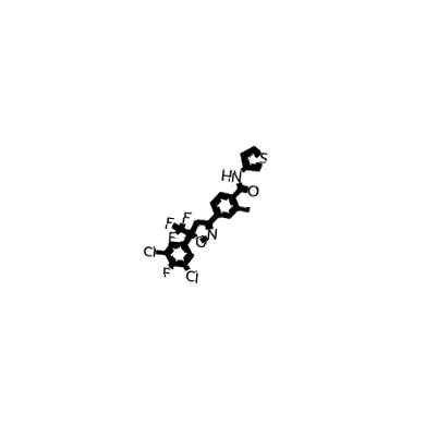 Cc1cc(C2=NOC(c3cc(Cl)c(F)c(Cl)c3)(C(F)(F)F)C2)ccc1C(=O)Nc1ccsc1